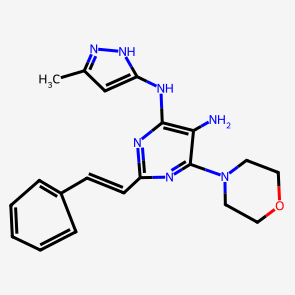 Cc1cc(Nc2nc(C=Cc3ccccc3)nc(N3CCOCC3)c2N)[nH]n1